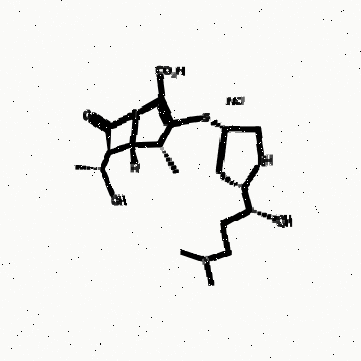 C[C@@H](O)[C@H]1C(=O)N2C(C(=O)O)=C(S[C@@H]3CN[C@H]([C@H](O)CCN(C)C)C3)[C@H](C)[C@H]12.Cl